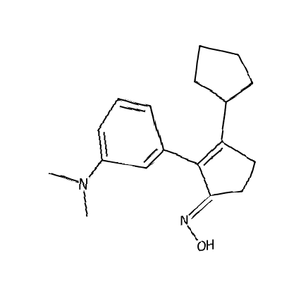 CN(C)c1cccc(C2=C(C3CCCC3)CCC2=NO)c1